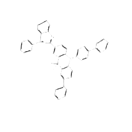 CC1(C)c2cc(-c3ccccc3)ccc2N(c2ccc(-c3ccccc3)cc2)c2ccc(-c3nc(-c4ccccc4)c4ccccc4n3)cc21